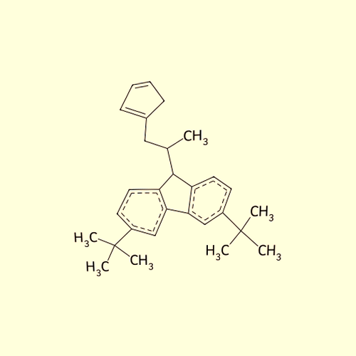 CC(CC1=CC=CC1)C1c2ccc(C(C)(C)C)cc2-c2cc(C(C)(C)C)ccc21